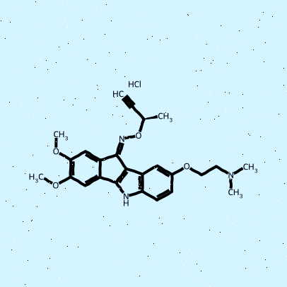 C#C[C@@H](C)O/N=C1/c2cc(OC)c(OC)cc2-c2[nH]c3ccc(OCCN(C)C)cc3c21.Cl